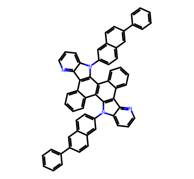 c1ccc(-c2ccc3cc(-n4c5cccnc5c5c6ccccc6c6c(c7ccccc7c7c8ncccc8n(-c8ccc9cc(-c%10ccccc%10)ccc9c8)c76)c54)ccc3c2)cc1